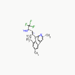 C/C(=C\C(=N)C(F)(F)F)B1c2cc(cc(C)n2)-c2cc(C)cc(C)c21